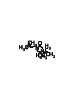 C[C@@H]1CN(CCN(C)C)C(=O)CN1C(C)(C)C